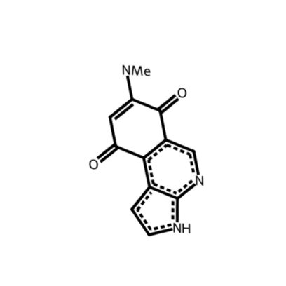 CNC1=CC(=O)c2c(cnc3[nH]ccc23)C1=O